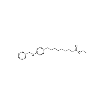 CCOC(=O)CCCCCCCCc1ccc(OCc2ccccc2)cc1